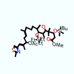 CC[Si](CC)(CC)OC(C(C)CCC/C(C)=C/CC(OC(C)=O)/C(C)=C/c1csc(C)n1)C(C)C(=O)C(C)(C)C(CC(=O)OC)O[Si](C)(C)C(C)(C)C